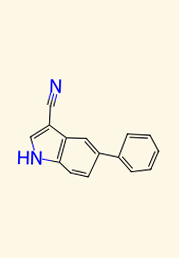 N#Cc1c[nH]c2ccc(-c3ccccc3)cc12